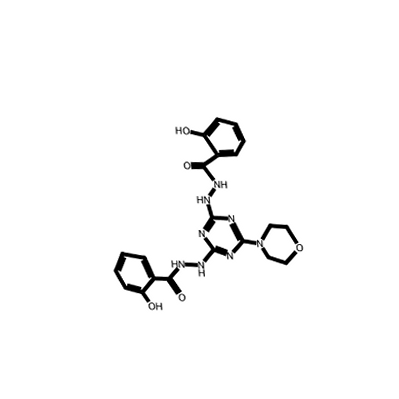 O=C(NNc1nc(NNC(=O)c2ccccc2O)nc(N2CCOCC2)n1)c1ccccc1O